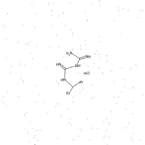 CCC(NC(=N)NC(=N)N)C(C)C.Cl